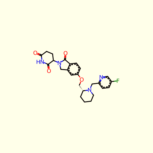 O=C1CCC(N2Cc3cc(OC[C@H]4CCCCN4Cc4ccc(F)cn4)ccc3C2=O)C(=O)N1